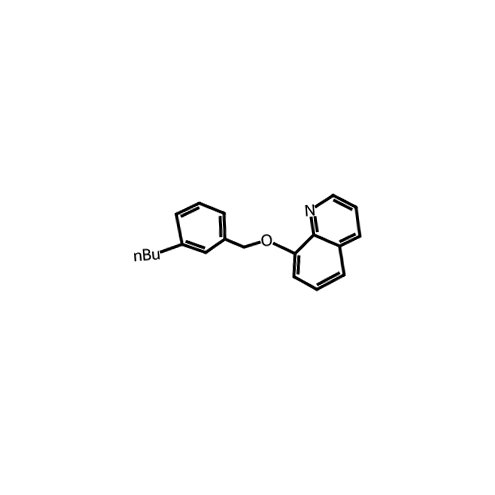 CCCCc1cccc(COc2cccc3cccnc23)c1